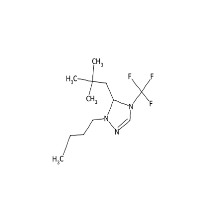 CCCCN1N=CN(C(F)(F)F)C1CC(C)(C)C